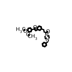 COc1ccc(-c2cc3cc(CCC(=O)N4CCN(Cc5ccccc5)CC4)ccc3o2)cc1OC